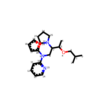 CC(C)COC(C)C(CN(c1ccccn1)c1ccco1)N1CCCC1